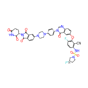 N#Cc1c(NS(=O)(=O)N2CC[C@@H](F)C2)ccc(F)c1Oc1ccc2ncn(-c3ccc(N4CCN(c5ccc6c(c5)C(=O)N(C5CCC(=O)NC5=O)C6=O)CC4)cc3)c(=O)c2c1